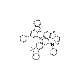 CC1(C)c2ccccc2-c2ccc(N(C3=CC(c4ccccc4)=CC4c5ccccc5SC34)c3ccc4sc5c(c4c3)C3(N(c4ccccc4)c4ccccc4)CC3=C5)cc21